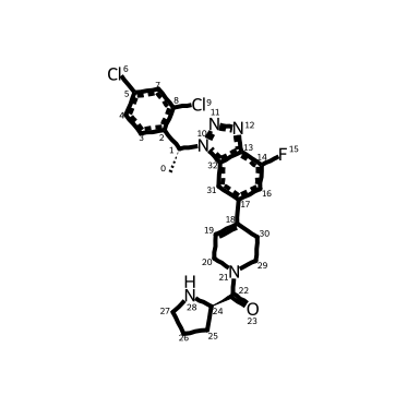 C[C@H](c1ccc(Cl)cc1Cl)n1nnc2c(F)cc(C3=CCN(C(=O)[C@H]4CCCN4)CC3)cc21